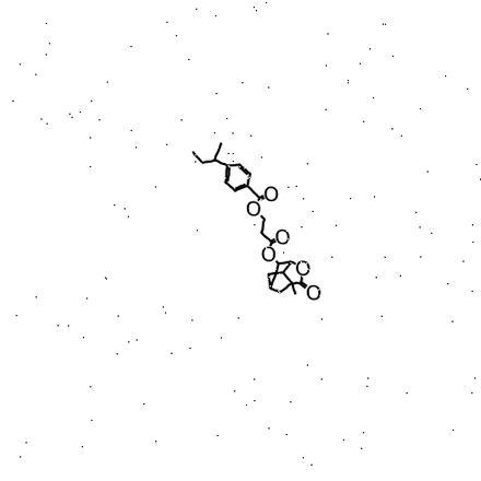 CCC(C)c1ccc(C(=O)OCCC(=O)OC2C3CC4C2OC(=O)C4(C)C3)cc1